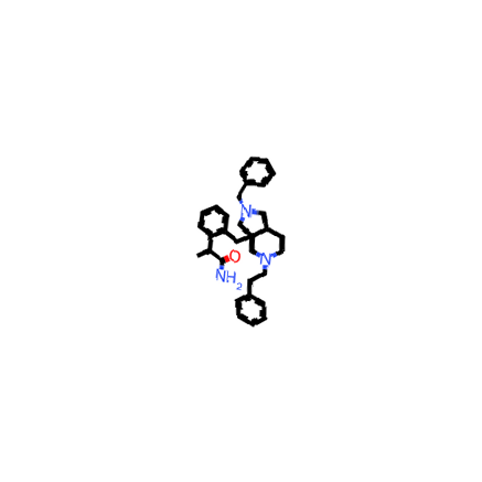 CC(C(N)=O)c1ccccc1CC12CN(CCc3ccccc3)CCC1CN(Cc1ccccc1)C2